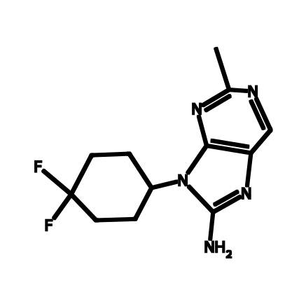 Cc1ncc2nc(N)n(C3CCC(F)(F)CC3)c2n1